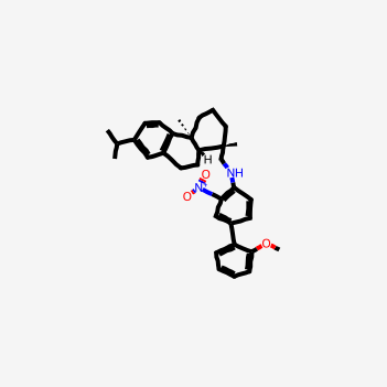 COc1ccccc1-c1ccc(NC[C@@]2(C)CCC[C@]3(C)c4ccc(C(C)C)cc4CC[C@@H]23)c([N+](=O)[O-])c1